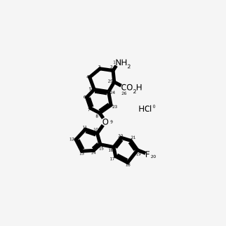 Cl.NC1CCc2ccc(Oc3ccccc3-c3ccc(F)cc3)cc2C1C(=O)O